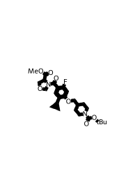 COC(=O)C1COCN1C(=O)c1cc(C2CC2)c(OCC2CCN(C(=O)OC(C)(C)C)CC2)cc1F